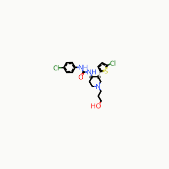 O=C(Nc1ccc(Cl)cc1)N[C@@H]1CCN(CCCO)C[C@H]1c1ccc(Cl)s1